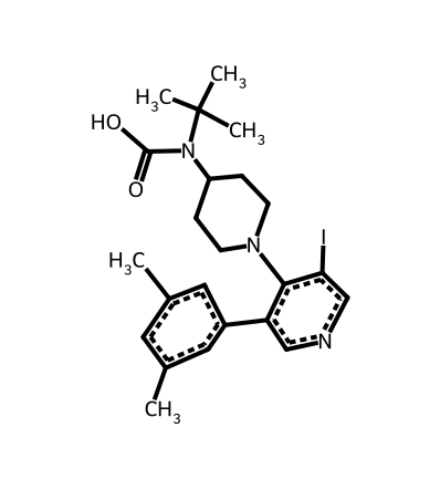 Cc1cc(C)cc(-c2cncc(I)c2N2CCC(N(C(=O)O)C(C)(C)C)CC2)c1